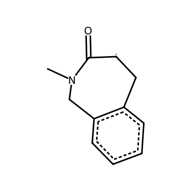 CN1Cc2ccccc2C[CH]C1=O